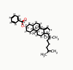 CC(C)CCC[C@@H](C)[C@H]1CC=C2C3=CCC4C[C@@H](OC(=O)c5ccccc5)CC[C@]4(C)[C@H]3CC[C@@]21C